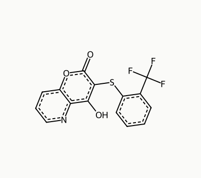 O=c1oc2cccnc2c(O)c1Sc1ccccc1C(F)(F)F